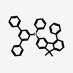 CC1(C)c2ccc(N(c3ccccc3)c3cc(-c4ccccc4)cc(-c4ccccc4)c3)cc2-c2c(-c3ccccc3)cccc21